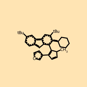 CC1C=CC(c2ccoc2)=C1c1c2c(cc(C(C)(C)C)c1=C1CCCCC1)=c1cc(C(C)(C)C)ccc1=[C]2